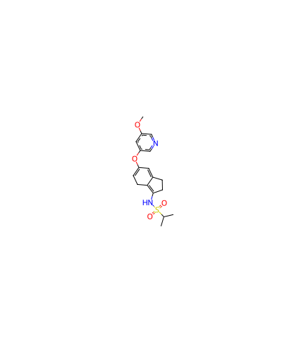 COc1cncc(OC2=CCC3=C(NS(=O)(=O)C(C)C)CCC3=C2)c1